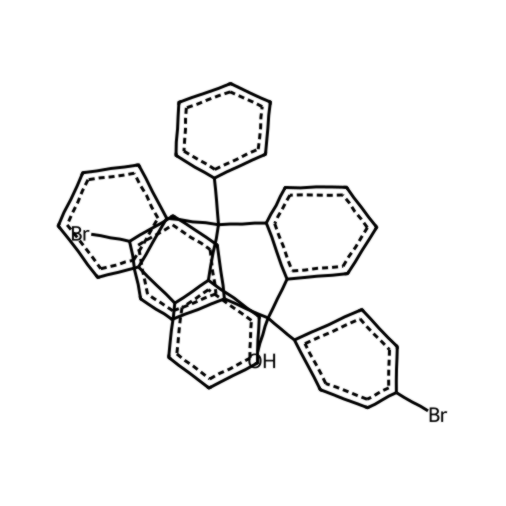 OC(c1ccc(Br)cc1)(c1ccc(Br)cc1)c1ccccc1C1(c2ccccc2)c2ccccc2-c2ccccc21